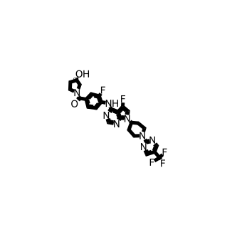 O=C(c1ccc(Nc2ncnc3c2c(F)cn3C2CCN(c3ncc(C(F)(F)F)cn3)CC2)c(F)c1)N1CC[C@@H](O)C1